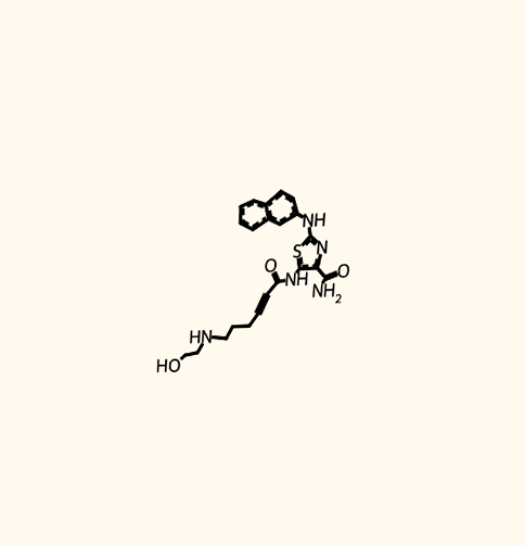 NC(=O)c1nc(Nc2ccc3ccccc3c2)sc1NC(=O)C#CCCCNCCO